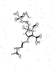 CC(=O)NC=CSC1=C(C(=O)O)N2C(=O)[C@@H]([C@@H]([CH2][Na])OS(=O)(=O)O)[C@H]2C1